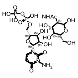 CC(=O)N[C@H]1C(O)O[C@H](CO)[C@@H](O)[C@@H]1O.Nn1c(=O)ccn([C@@H]2O[C@H](COP(=O)(O)OP(=O)(O)O)[C@@H](O)[C@H]2O)c1=O